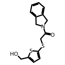 O=C(CSc1ccc(CO)s1)N1Cc2ccccc2C1